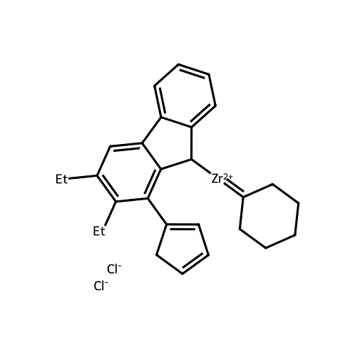 CCc1cc2c(c(C3=CC=CC3)c1CC)[CH]([Zr+2]=[C]1CCCCC1)c1ccccc1-2.[Cl-].[Cl-]